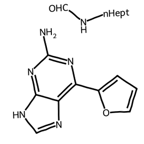 CCCCCCCNC=O.Nc1nc(-c2ccco2)c2nc[nH]c2n1